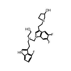 OCCN(CCc1c[nH]c2cccc(F)c12)Cn1cc(CCN2CCC(O)C2)c2cc(F)c(F)cc21